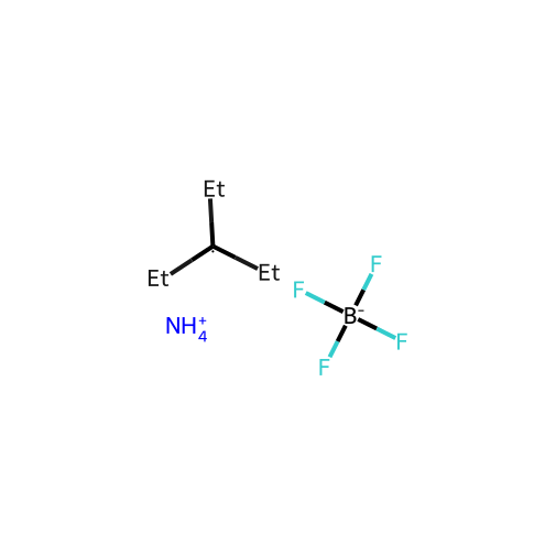 CC[C](CC)CC.F[B-](F)(F)F.[NH4+]